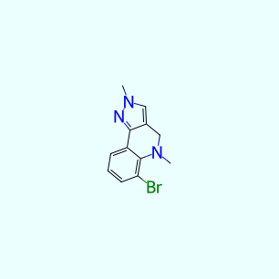 CN1Cc2cn(C)nc2-c2cccc(Br)c21